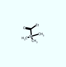 CCC(=O)[Si](C)(C)C